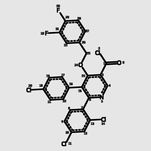 O=C(Cl)c1cnc(-c2ccc(Cl)cc2Cl)c(-c2ccc(Cl)cc2)c1OCc1ccc(F)c(F)c1